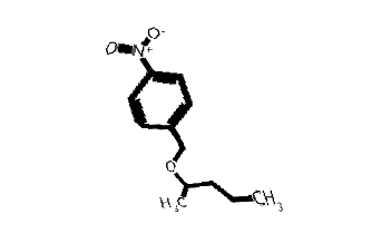 CCCC(C)OCc1ccc([N+](=O)[O-])cc1